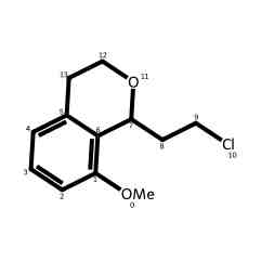 COc1cccc2c1C(CCCl)OCC2